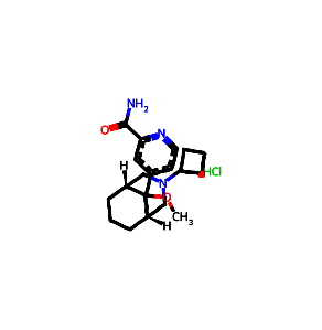 COC1(c2ccnc(C(N)=O)c2)[C@@H]2CCC[C@H]1CN(C13CC(C1)C3)C2.Cl